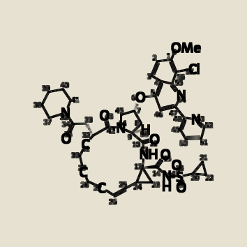 COc1ccc2c(O[C@@H]3C[C@H]4C(=O)N[C@]5(C(=O)NS(=O)(=O)C6CC6)CC5C=CCCCCC[C@H](CC(=O)N5CCCCC5)C(=O)N4C3)cc(-c3ccccn3)nc2c1Cl